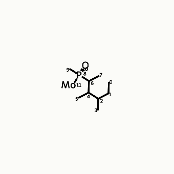 CCC(C)C(C)C(C)[P](C)(=O)[Mo]